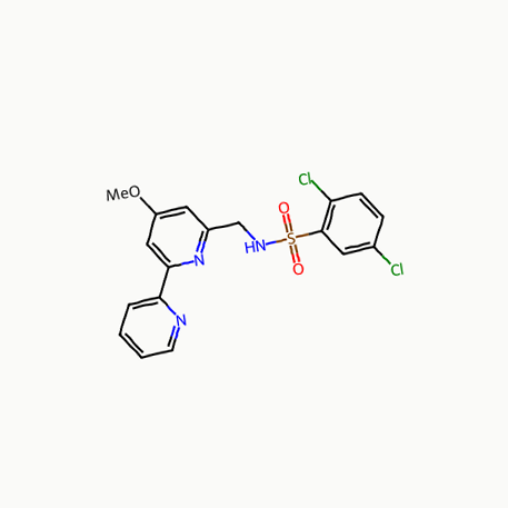 COc1cc(CNS(=O)(=O)c2cc(Cl)ccc2Cl)nc(-c2ccccn2)c1